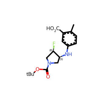 Cc1ccc(N[C@H]2CN(C(=O)OC(C)(C)C)C[C@H]2F)cc1C(=O)O